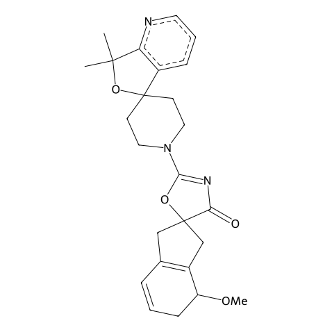 COC1CC=CC2=C1CC1(C2)OC(N2CCC3(CC2)OC(C)(C)c2ncccc23)=NC1=O